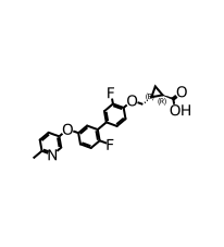 Cc1ccc(Oc2ccc(F)c(-c3ccc(OC[C@@H]4C[C@H]4C(=O)O)c(F)c3)c2)cn1